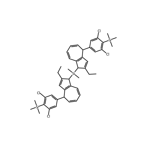 CCC1=CC2=C(C=CC=CC2c2cc(Cl)c([Si](C)(C)C)c(Cl)c2)C1[Si](C)(C)C1C(CC)=CC2=C1C=CC=CC2c1cc(Cl)c([Si](C)(C)C)c(Cl)c1